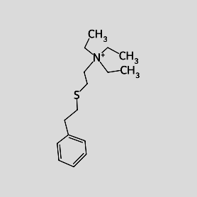 CC[N+](CC)(CC)CCSCCc1ccccc1